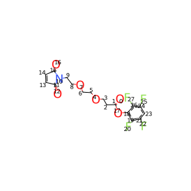 O=C(CCOCCOCCN1C(=O)C=CC1=O)Oc1c(F)c(F)cc(F)c1F